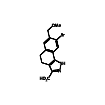 COCc1cc2c(cc1Br)-c1[nH]nc(C(=O)O)c1CC2